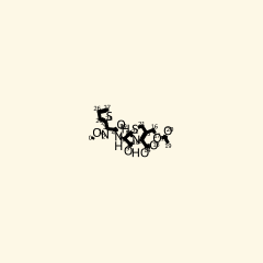 CON=C(C(=O)N[C@@H]1C(=O)N2C(C(=O)O)=C(COC(C)=O)CS[C@H]12)c1cccs1